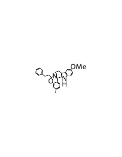 COc1ccc2[nH]c3c(c2c1)CCN(C(=O)CCc1ccccc1)C3c1ccc(C)cc1